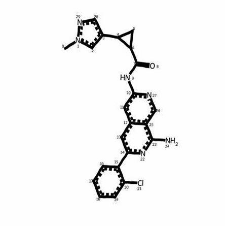 Cn1cc(C2CC2C(=O)Nc2cc3cc(-c4ccccc4Cl)nc(N)c3cn2)cn1